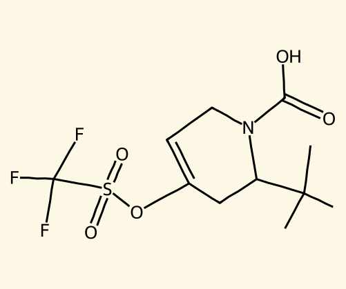 CC(C)(C)C1CC(OS(=O)(=O)C(F)(F)F)=CCN1C(=O)O